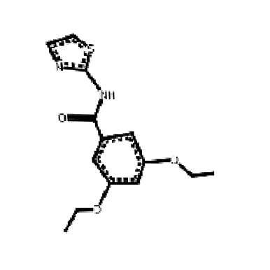 CCOc1cc(OCC)cc(C(=O)Nc2nccs2)c1